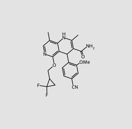 COc1cc(C#N)ccc1C1C(C(N)=O)=C(C)Nc2c(C)cnc(OCC3CC3(F)F)c21